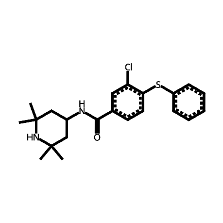 CC1(C)CC(NC(=O)c2ccc(Sc3ccccc3)c(Cl)c2)CC(C)(C)N1